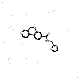 O=C(NCc1nccs1)c1ccc2c(c1)OCc1cnccc1-2